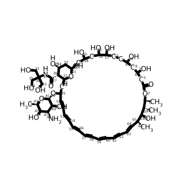 C[C@@H]1OC(=O)CC(O)CC(O)CCC(O)C(O)CC(O)CC2(O)C[C@H](O)[C@@H](C(=O)NC(CO)(CO)CO)[C@H](CC(O[C@@H]3O[C@H](C)C(O)[C@H](N)C3O)/C=C/C=C/C=C/C=C/C=C/C=C/C=C/[C@H](C)C(O)[C@H]1C)O2